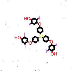 Oc1cc(I)c(Oc2ccc([S+](c3ccc(Oc4cc(I)c(O)cc4I)cc3)c3ccc(Oc4cc(I)c(O)cc4I)cc3)cc2)cc1I